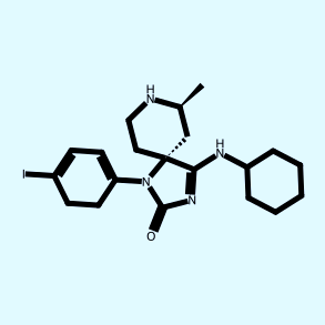 C[C@H]1C[C@]2(CCN1)C(NC1CCCCC1)=NC(=O)N2C1=CC=C(I)CC1